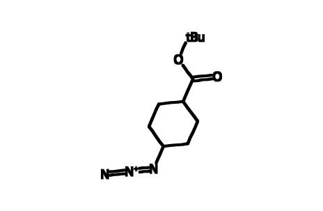 CC(C)(C)OC(=O)C1CCC(N=[N+]=[N-])CC1